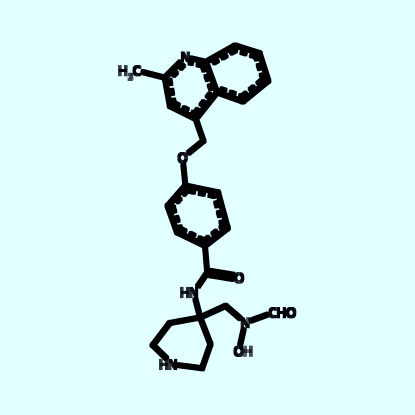 Cc1cc(COc2ccc(C(=O)NC3(CN(O)C=O)CCNCC3)cc2)c2ccccc2n1